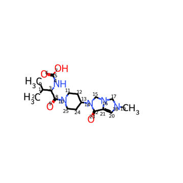 CC(C)[C@@H](NC(=O)O)C(=O)N1CCC(N2CN3CN(C)C=C3C2=O)CC1